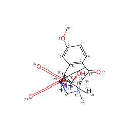 COc1ccc2c(c1)[C@]13CCN(C)[C@H](C2=O)[C@]1(O)CCCNC(=O)NC(=O)C3